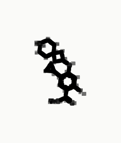 COC(=O)c1cc(C2CC2)c(OC2CC3(CCNCC3)C2)cc1F